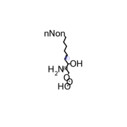 CCCCCCCCCCCCC/C=C/C(O)[C@@H](N)COOO